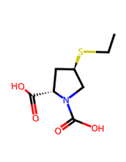 CCS[C@@H]1C[C@@H](C(=O)O)N(C(=O)O)C1